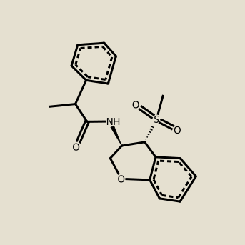 CC(C(=O)N[C@@H]1COc2ccccc2[C@H]1S(C)(=O)=O)c1ccccc1